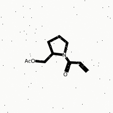 C=CC(=O)N1CCCC1COC(C)=O